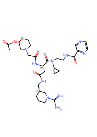 CC(=O)O.N=C(N)N1CCC[C@@H](CNC(=O)C[C@H](NC(=O)CN2CCOCC2)C(=O)N(CCNC(=O)c2cnccn2)C2CC2)C1